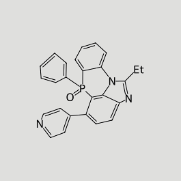 CCc1nc2ccc(-c3ccncc3)c3c2n1-c1ccccc1P3(=O)c1ccccc1